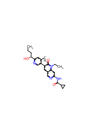 CCC[C@H](O)c1cc(C)c(-c2cc3cnc(NC(=O)C4CC4)cc3n(CC)c2=O)cn1